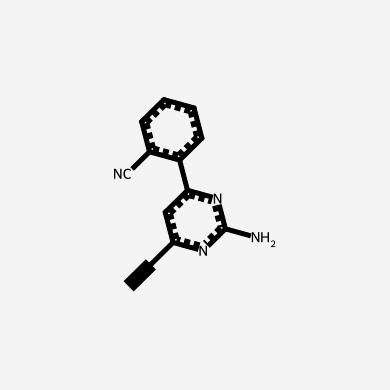 C#Cc1cc(-c2ccccc2C#N)nc(N)n1